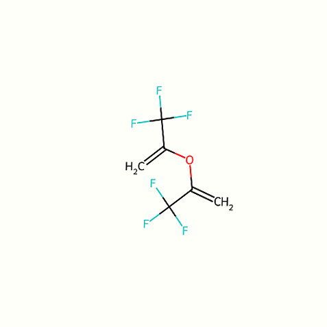 C=C(OC(=C)C(F)(F)F)C(F)(F)F